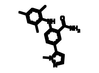 Cc1cc(C)c(Nc2ccc(-c3ccnn3C)cc2C(N)=O)c(C)c1